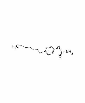 CCCCCCCc1ccc(OC(N)=O)cc1